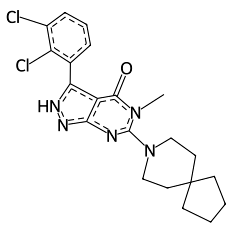 Cn1c(N2CCC3(CCCC3)CC2)nc2n[nH]c(-c3cccc(Cl)c3Cl)c2c1=O